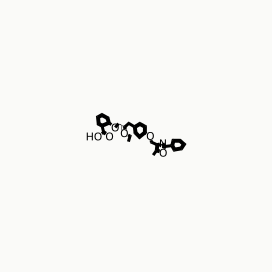 CCO[C@H](COc1ccccc1C(=O)O)Cc1ccc(OCc2nc(-c3ccccc3)oc2C)cc1